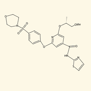 COC[C@@H](C)Oc1cc(C(=O)Nc2nccs2)cc(Oc2ccc(S(=O)(=O)N3CCOCC3)cc2)n1